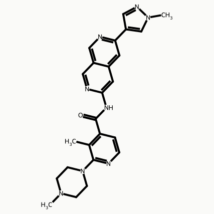 Cc1c(C(=O)Nc2cc3cc(-c4cnn(C)c4)ncc3cn2)ccnc1N1CCN(C)CC1